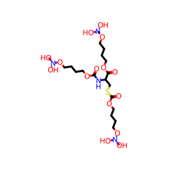 O=C(NC(CSC(=O)OCCCCON(O)O)C(=O)OCCCCON(O)O)OCCCCON(O)O